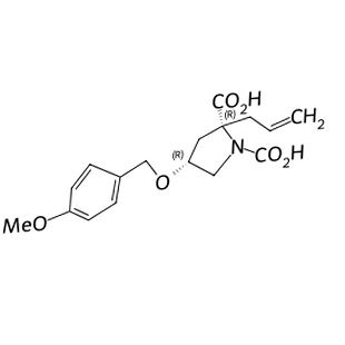 C=CC[C@]1(C(=O)O)C[C@@H](OCc2ccc(OC)cc2)CN1C(=O)O